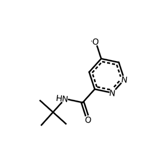 CC(C)(C)NC(=O)c1cc([O])cnn1